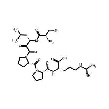 CC(C)C[C@H](NC(=O)[C@@H](N)CS)C(=O)C(=O)N1CCC[C@H]1C(=O)N1CCC[C@H]1C(=O)N[C@@H](CCCNC(=N)N)C(=O)O